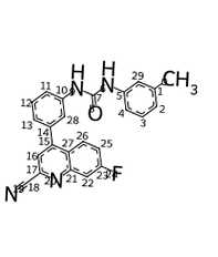 Cc1cccc(NC(=O)Nc2cccc(-c3cc(C#N)nc4cc(F)ccc34)c2)c1